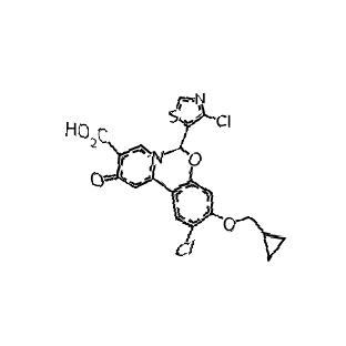 O=C(O)c1cn2c(cc1=O)-c1cc(Cl)c(OCC3CC3)cc1OC2c1scnc1Cl